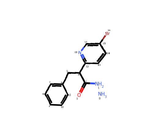 N.NC(=O)C(Cc1ccccc1)c1ccc(Br)cn1